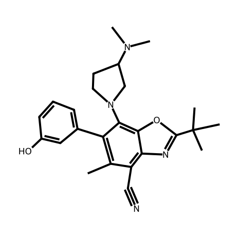 Cc1c(-c2cccc(O)c2)c(N2CCC(N(C)C)C2)c2oc(C(C)(C)C)nc2c1C#N